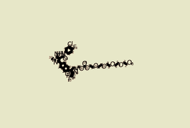 COCCOCCOCCOCCOCCOC(=O)OCn1cc(C2(O)CC3CC(c4nn(C)c(N)c4C(=O)Nc4ccc(F)c(Cl)c4)CC3C2)c(C(F)(F)F)n1